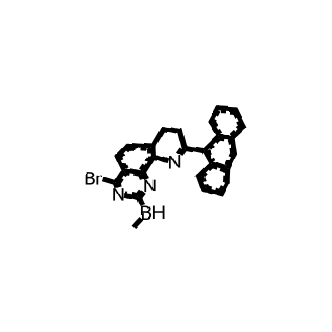 CBc1nc(Br)c2ccc3c(c2n1)N=C(c1c2ccccc2cc2ccccc12)CC3